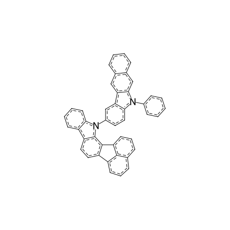 c1ccc(-n2c3ccc(-n4c5ccccc5c5ccc6c(c54)-c4cccc5cccc-6c45)cc3c3cc4ccccc4cc32)cc1